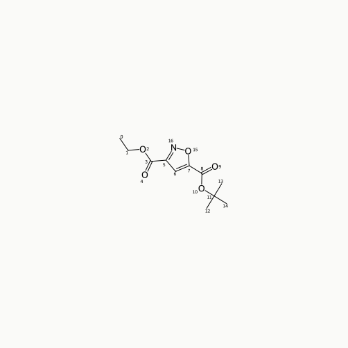 CCOC(=O)c1cc(C(=O)OC(C)(C)C)on1